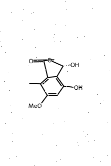 COc1cc(O)c2c(c1C)C(=O)O[C@@H]2O